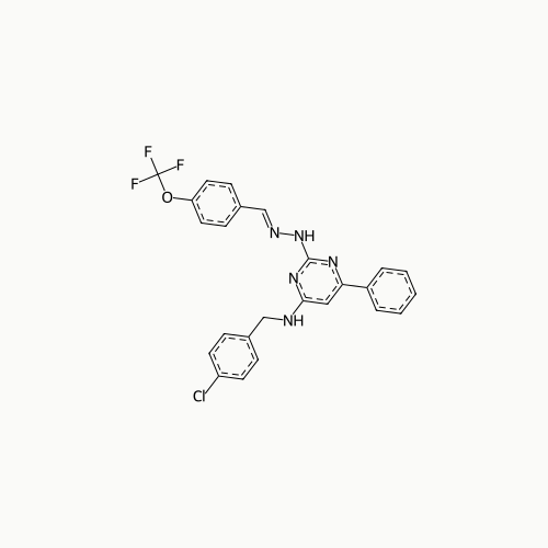 FC(F)(F)Oc1ccc(C=NNc2nc(NCc3ccc(Cl)cc3)cc(-c3ccccc3)n2)cc1